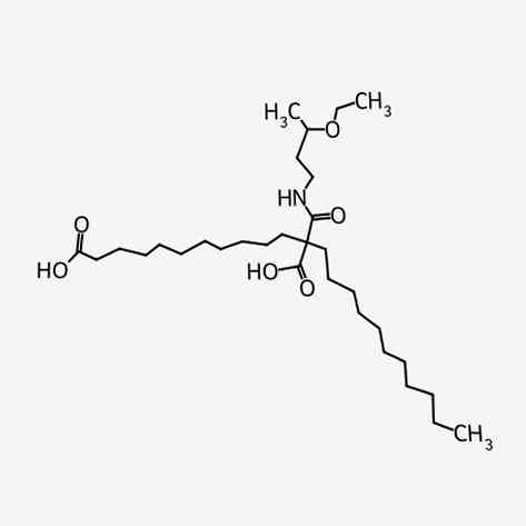 CCCCCCCCCCCC(CCCCCCCCCCC(=O)O)(C(=O)O)C(=O)NCCC(C)OCC